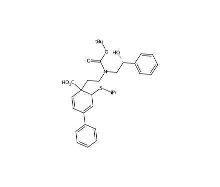 CC(C)SC1C=C(c2ccccc2)C=CC1(CCN(C[C@H](O)c1ccccc1)C(=O)OC(C)(C)C)C(=O)O